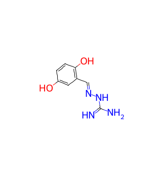 N=C(N)NN=Cc1cc(O)ccc1O